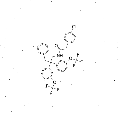 O=C(Cc1ccc(Cl)cc1)NCC(Cc1ccccc1)(c1cccc(OC(F)(F)F)c1)c1cccc(OC(F)(F)F)c1